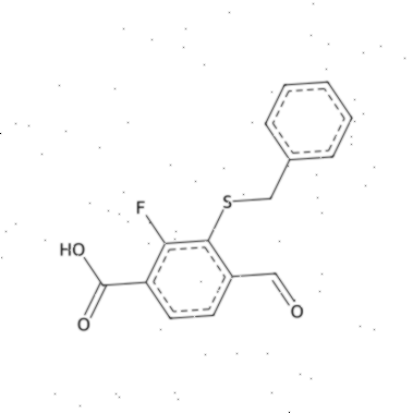 O=Cc1ccc(C(=O)O)c(F)c1SCc1ccccc1